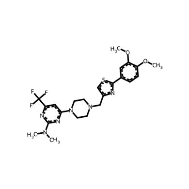 COc1ccc(-c2nc(CN3CCN(c4cc(C(F)(F)F)nc(N(C)C)n4)CC3)cs2)cc1OC